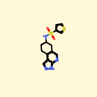 O=S(=O)(NC1CCc2c(cnc3[nH]ncc23)C1)c1ccsc1